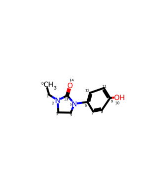 CCN1CCN(c2ccc(O)cc2)C1=O